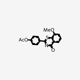 COc1cccc2c(=O)nc(-c3ccc(OC(C)=O)cc3)sc12